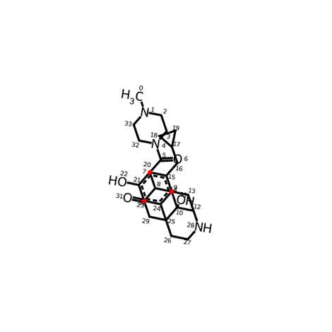 CN1CCN(C(=O)CC2CC3(O)C4Cc5c(CC6CC6)cc(O)cc5C3(CCN4)CC2=O)CC1